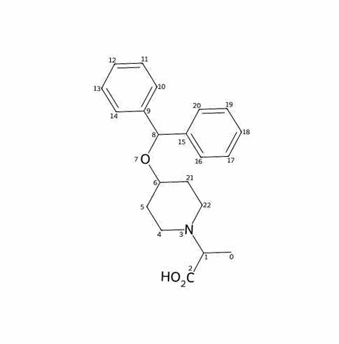 CC(C(=O)O)N1CCC(OC(c2ccccc2)c2ccccc2)CC1